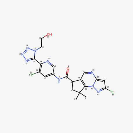 CC1(C)CC(C(=O)Nc2cnc(-c3nnnn3CCO)c(Cl)c2)c2cnc3cc(Cl)nn3c21